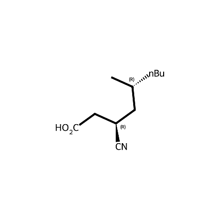 CCCC[C@@H](C)C[C@@H](C#N)CC(=O)O